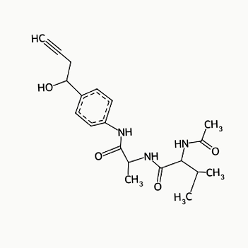 C#CCC(O)c1ccc(NC(=O)C(C)NC(=O)C(NC(C)=O)C(C)C)cc1